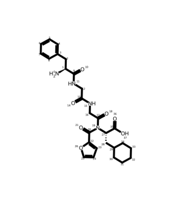 N[C@@H](Cc1ccccc1)C(=O)NCC(=O)NCC(=O)N(C(=O)c1ccco1)[C@@H](CC1CCCCC1)C(=O)O